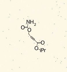 CC(C)OC(=O)C#CCOC(N)=O